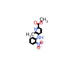 COC(=O)c1ccc(Nc2ccccc2[N+](=O)[O-])c(C)n1